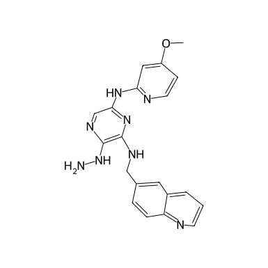 COc1ccnc(Nc2cnc(NN)c(NCc3ccc4ncccc4c3)n2)c1